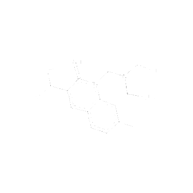 CCN(CC)Cn1c(=N)c(C(O)O)cc2ccc(C)cc21